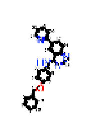 c1ccc(COc2ccc(Nc3ncnc4ccc(-c5ccccn5)cc34)cc2)cc1